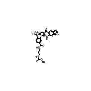 CCN1c2ccc(C(=O)NCCCNC(=O)OC(C)(C)C)cc2N(CC)C1(CNC(=O)c1nc2cc[nH]c2nc1N)C(=O)O